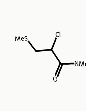 CNC(=O)C(Cl)CSC